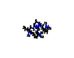 [2H]C(CCN1CCCN(CCC([2H])N(C)C)N1CCC([2H])N(C)C)N(C)C